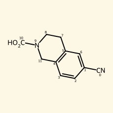 N#Cc1ccc2c(c1)CCN(C(=O)O)C2